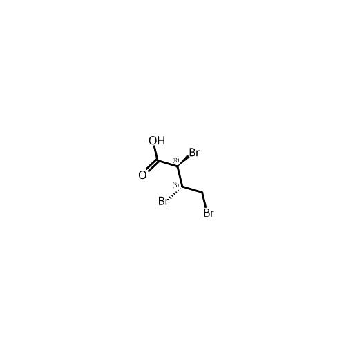 O=C(O)[C@@H](Br)[C@@H](Br)CBr